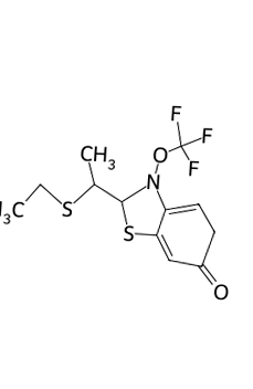 CCSC(C)C1SC2=CC(=O)CC=C2N1OC(F)(F)F